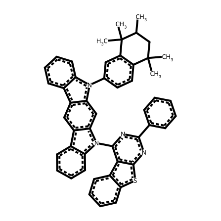 CC1CC(C)(C)c2ccc(-n3c4ccccc4c4cc5c6ccccc6n(-c6nc(-c7ccccc7)nc7sc8ccccc8c67)c5cc43)cc2C1(C)C